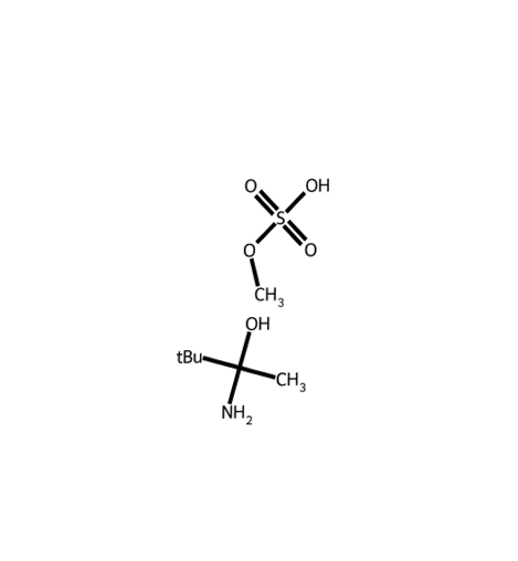 CC(C)(C)C(C)(N)O.COS(=O)(=O)O